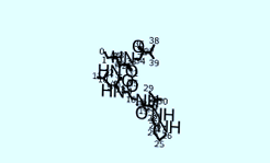 CC[C@H](C)[C@H](NC(=O)[C@H](CC(C)C)NC(=O)CNC(=O)[C@@H](NCC1CCCN1)C(C)C)C(=O)NCC(=O)C(C)C